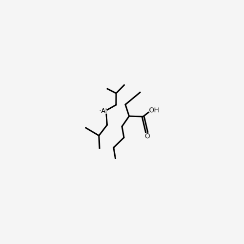 CC(C)[CH2][Al][CH2]C(C)C.CCCCC(CC)C(=O)O